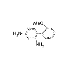 COc1ccccc1-c1cnc(N)nc1N